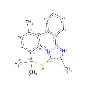 Cc1nc2c3ccccc3c3c(C)ccc4c3n2c1SC4(C)C